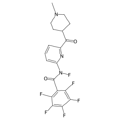 CN1CCC(C(=O)c2cccc(N(F)C(=O)c3c(F)c(F)c(F)c(F)c3F)n2)CC1